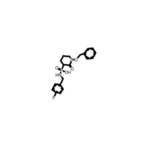 O=C1C(P(=O)(O)NCc2ccc(F)cc2)CCCN1OCc1ccccc1